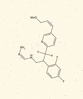 COC/C=C\c1ccc(C(F)(F)C(CN/C=N\N)c2ccc(F)cc2F)nc1